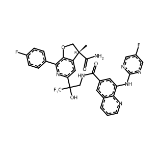 C[C@]1(C(N)=O)COc2c1cc(C(O)(CNC(=O)c1cc(Nc3ncc(F)cn3)c3ncccc3c1)C(F)(F)F)nc2-c1ccc(F)cc1